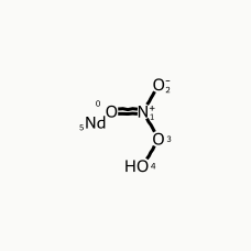 O=[N+]([O-])OO.[Nd]